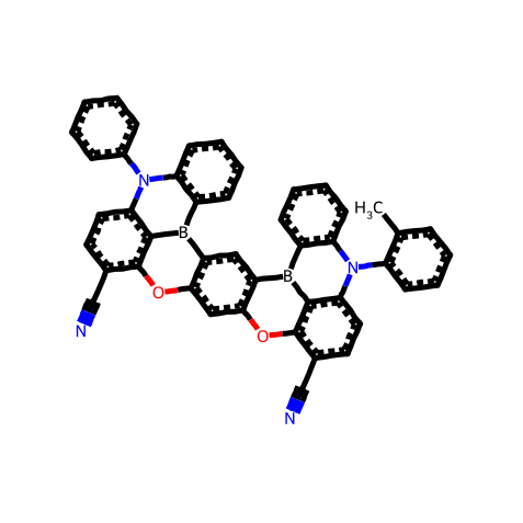 Cc1ccccc1N1c2ccccc2B2c3cc4c(cc3Oc3c(C#N)ccc1c32)Oc1c(C#N)ccc2c1B4c1ccccc1N2c1ccccc1